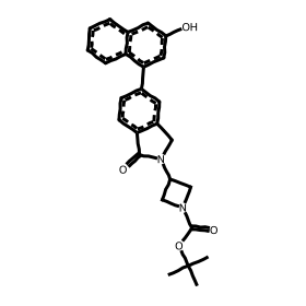 CC(C)(C)OC(=O)N1CC(N2Cc3cc(-c4cc(O)cc5ccccc45)ccc3C2=O)C1